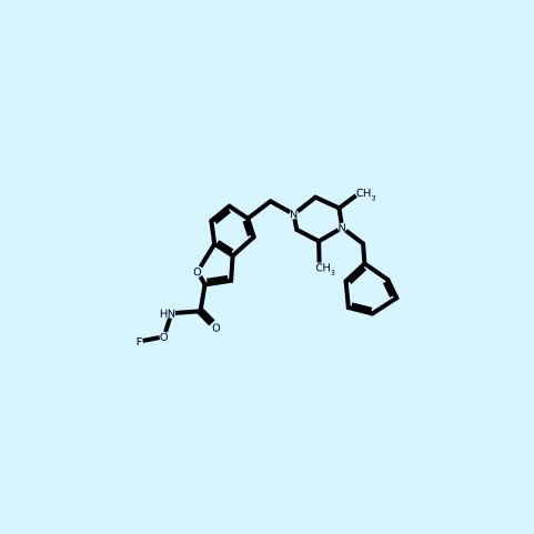 CC1CN(Cc2ccc3oc(C(=O)NOF)cc3c2)CC(C)N1Cc1ccccc1